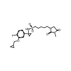 CN1C(=O)CN(CCCCCS(=O)(=O)NC2(c3ccc(F)c(OCC4CC4)c3)CC2)C1=O